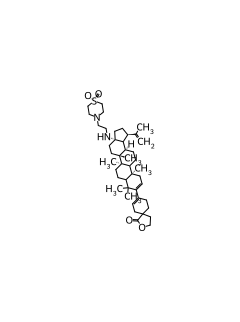 C=C(C)[C@@H]1CC[C@]2(NCCN3CCS(=O)(=O)CC3)CC[C@]3(C)[C@H](CCC4[C@@]5(C)CC=C(C6=CCC7(CCOC7=O)CC6)C(C)(C)C5CC[C@]43C)C12